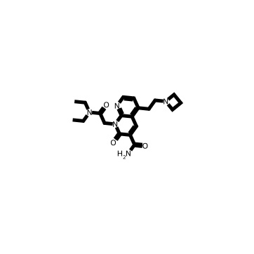 CCN(CC)C(=O)Cn1c(=O)c(C(N)=O)cc2c(CCN3CCC3)ccnc21